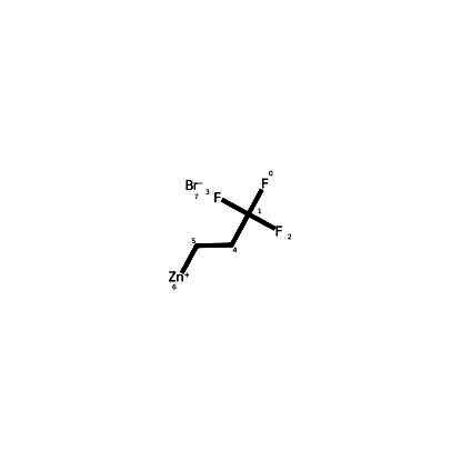 FC(F)(F)C[CH2][Zn+].[Br-]